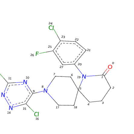 O=C1CCCC2(CCN(c3nc(Cl)nnc3Cl)CC2)N1c1ccc(Cl)c(F)c1